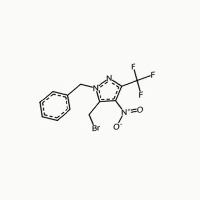 O=[N+]([O-])c1c(C(F)(F)F)nn(Cc2ccccc2)c1CBr